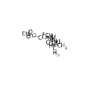 CCS(=O)(=O)c1ccc(-c2ccc(C[C@@H](C#N)NC(=O)[C@H]3N[C@H]4C[C@H]3[C@H](C)[C@@H]4C)c(F)c2)cc1